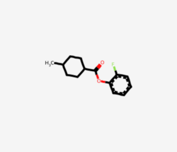 CC1CCC(C(=O)Oc2ccccc2F)CC1